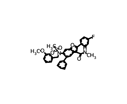 CNC(=O)c1c(-c2ccc(F)cc2)oc2cc(N(Cc3cccc(OC)c3)S(C)(=O)=O)c(-c3ccccc3)cc12